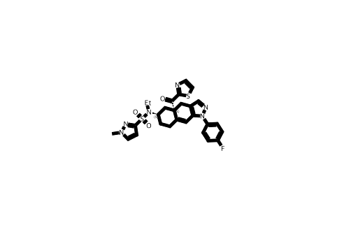 CCN([C@H]1CCC2=Cc3c(cnn3-c3ccc(F)cc3)C[C@]2(C(=O)c2nccs2)C1)S(=O)(=O)c1ccn(C)n1